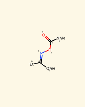 CCC(=NOC(=O)NC)OC